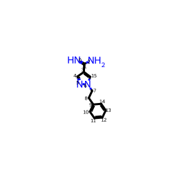 N=C(N)c1cnn(CCc2ccccc2)c1